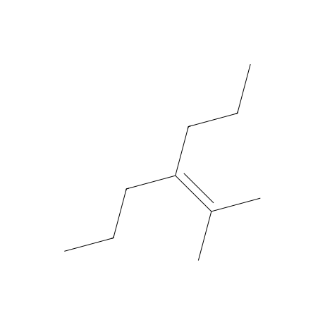 CCCC(CCC)=C(C)C